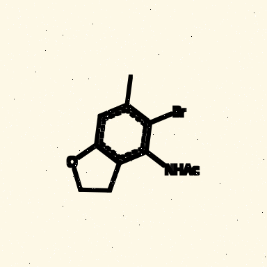 CC(=O)Nc1c(Br)c(C)cc2c1CCO2